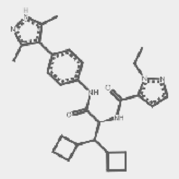 CCn1nccc1C(=O)N[C@H](C(=O)Nc1ccc(-c2c(C)n[nH]c2C)cc1)C(C1CCC1)C1CCC1